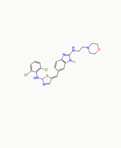 Cn1c(NCCN2CCOCC2)nc2ccc(C=C3C=NC(Nc4c(Cl)cccc4Cl)S3)cc21